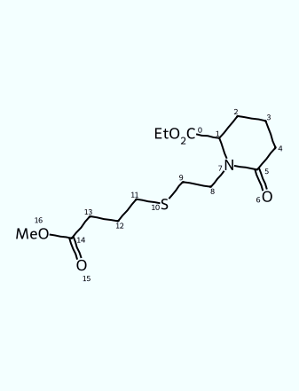 CCOC(=O)C1CCCC(=O)N1CCSCCCC(=O)OC